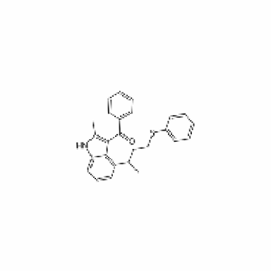 Cc1[nH]c2cccc(C(C)CCSc3ccccc3)c2c1C(=O)c1ccccc1